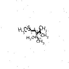 C=C(C)[C@H](CCSC)N(C)CC